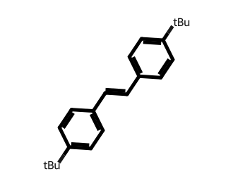 CC(C)(C)c1ccc(/C=C/c2ccc(C(C)(C)C)cc2)cc1